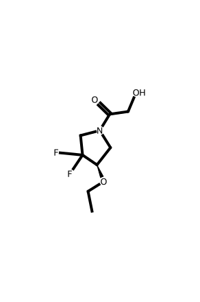 CCO[C@@H]1CN(C(=O)CO)CC1(F)F